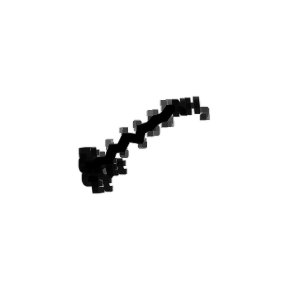 CCO[Si](CCCCCCCCCCCN)(OCC)OCC